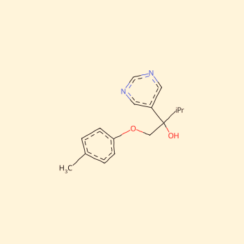 Cc1ccc(OCC(O)(c2cncnc2)C(C)C)cc1